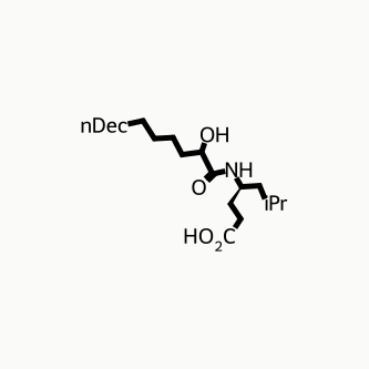 CCCCCCCCCCCCCCC(O)C(=O)N[C@H](CCC(=O)O)CC(C)C